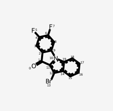 O=C1c2cc(F)c(F)cc2-n2c1c(Br)c1ccccc12